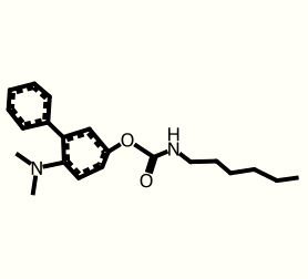 CCCCCCNC(=O)Oc1ccc(N(C)C)c(-c2ccccc2)c1